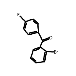 O=C(c1ccc(F)cc1)c1ccccc1Br